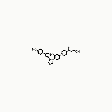 N#Cc1ccc(-c2cc3n(c2)Cc2cc(N4CCC(NCCO)CC4)ccc2-n2cnnc2-3)cc1